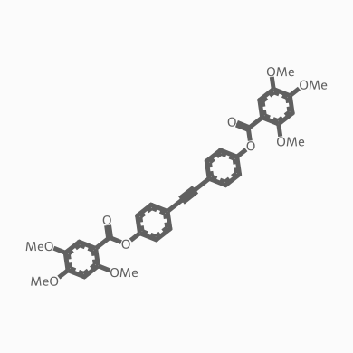 COc1cc(OC)c(C(=O)Oc2ccc(C#Cc3ccc(OC(=O)c4cc(OC)c(OC)cc4OC)cc3)cc2)cc1OC